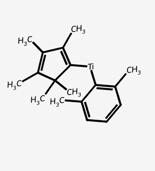 CC1=C(C)C(C)(C)[C]([Ti][c]2c(C)cccc2C)=C1C